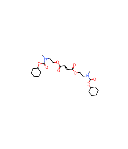 CN(CCOC(=O)/C=C/C(=O)OCCN(C)C(=O)OC1CCCCC1)C(=O)OC1CCCCC1